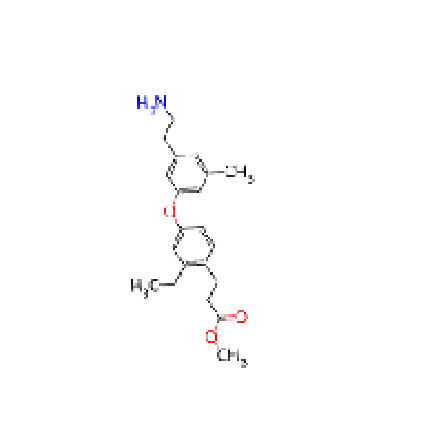 CCc1cc(Oc2cc(C)cc(CCN)c2)ccc1CCC(=O)OC